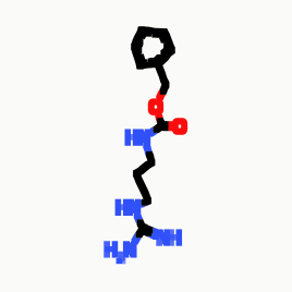 N=C(N)NCCCNC(=O)OCc1ccccc1